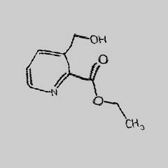 CCOC(=O)c1ncccc1CO